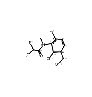 CN(C(=O)C(F)F)c1c(Cl)ccc(CBr)c1Cl